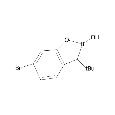 CC(C)(C)C1B(O)Oc2cc(Br)ccc21